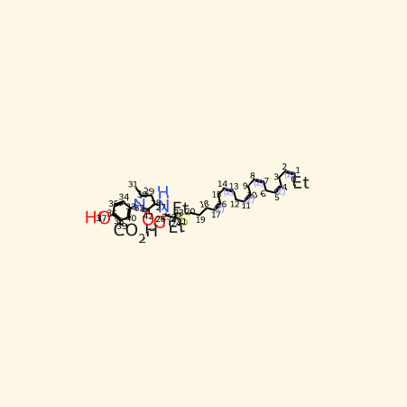 CC/C=C\C/C=C\C/C=C\C/C=C\C/C=C\C/C=C\CCCSC(CC)(CC)C(=O)NC1CC(C)N(c2ccc(O)c(C(=O)O)c2)C1=O